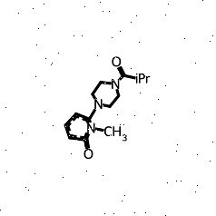 CC(C)C(=O)N1CCN(c2cccc(=O)n2C)CC1